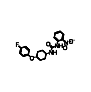 O=C(Nc1ccccc1[N+](=O)[O-])N[C@H]1CC[C@@H](Oc2ccc(F)cc2)CC1